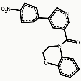 O=C(c1cncc(-c2ccc([N+](=O)[O-])cc2)c1)N1CCOc2ccccc21